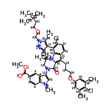 COC(=O)c1ccc2c(c1)c(N1C[C@@H](C)n3c(c(CCCOc4cc(C)c(Cl)c(C)c4)c4ccc(Cl)c(-c5c(C)nn(COCC[Si](C)(C)C)c5C)c43)C1=O)cn2C